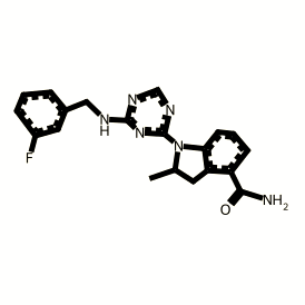 CC1Cc2c(C(N)=O)cccc2N1c1ncnc(NCc2cccc(F)c2)n1